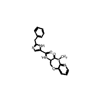 CN1C(=O)C(NC(=O)c2cnc(Cc3ccccc3)[nH]2)COc2cccnc21